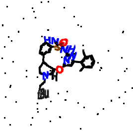 Cc1cccc(C)c1-c1cc2nc(n1)NS(=N)(=O)c1cccc(c1)C1CCN(CCC(C)(C)C)C[C@H](C1)O2